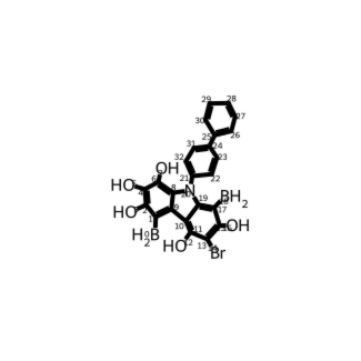 Bc1c(O)c(O)c(O)c2c1c1c(O)c(Br)c(O)c(B)c1n2-c1ccc(-c2ccccc2)cc1